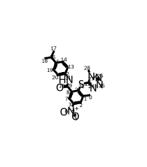 Cc1cc([N+](=O)[O-])cc(C(=O)Nc2ccc(C(C)C)cc2)c1Sc1nnnn1C